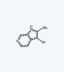 CC(C)c1c(C(C)(C)C)[nH]c2cnccc12